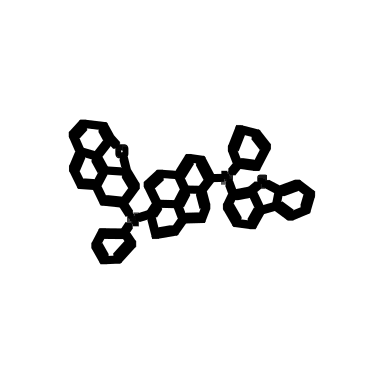 c1ccc(N(c2cc3ccc4cccc5oc(c2)c3c45)c2ccc3ccc4c(N(c5ccccc5)c5cccc6c5sc5ccccc56)ccc5ccc2c3c54)cc1